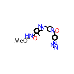 COCCNC(=O)c1ccc2nn(CC3CCN(C(=O)c4ccc(-n5cncn5)cc4)CC3)cc2c1C